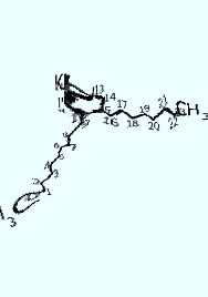 CCCCCCCCCCc1ccccc1CCCCCCCC.[KH]